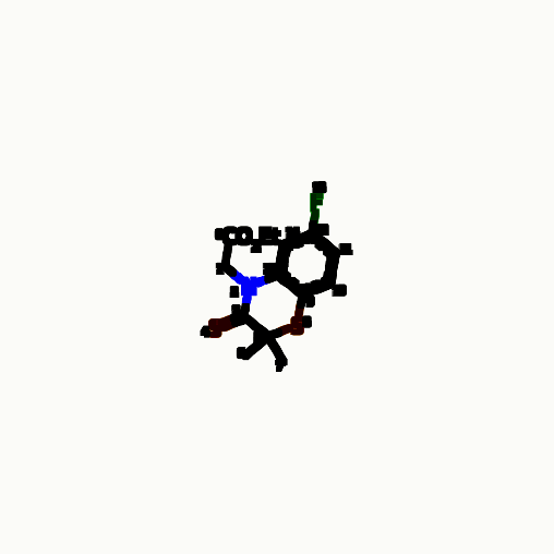 CCOC(=O)CN1C(=S)C(C)(C)Sc2ccc(F)cc21